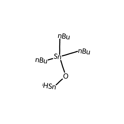 CCC[CH2][Sn]([CH2]CCC)([CH2]CCC)[O][SnH]